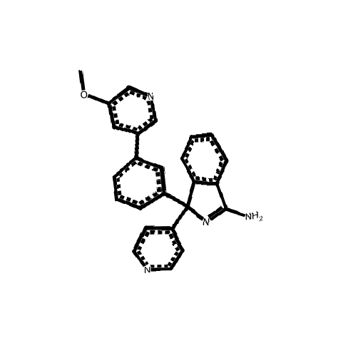 COc1cncc(-c2cccc(C3(c4ccncc4)N=C(N)c4ccccc43)c2)c1